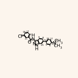 CN(C)c1ccc(-c2ccc3c(NC(=O)c4cccc(Cl)c4)n[nH]c3c2)cc1